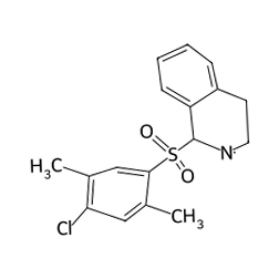 Cc1cc(S(=O)(=O)C2[N]CCc3ccccc32)c(C)cc1Cl